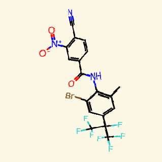 Cc1cc(C(F)(C(F)(F)F)C(F)(F)F)cc(Br)c1NC(=O)c1ccc(C#N)c([N+](=O)[O-])c1